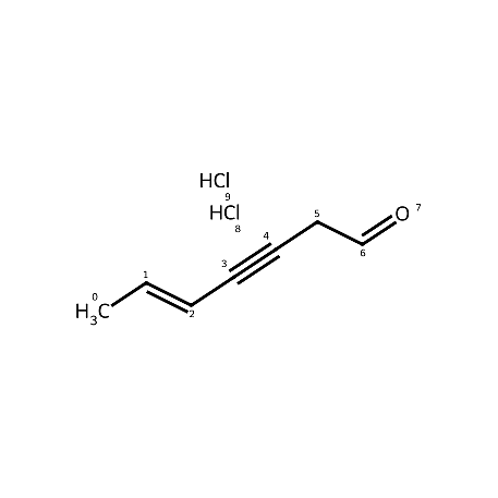 CC=CC#CCC=O.Cl.Cl